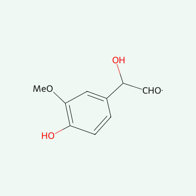 COc1cc(C(O)[C]=O)ccc1O